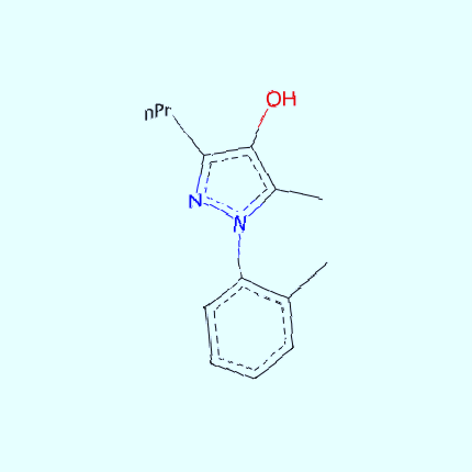 CCCc1nn(-c2ccccc2C)c(C)c1O